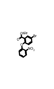 COC(=O)c1cc(Br)ccc1Oc1ccccc1[N+](=O)[O-]